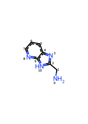 NCc1nc2cccnc2[nH]1